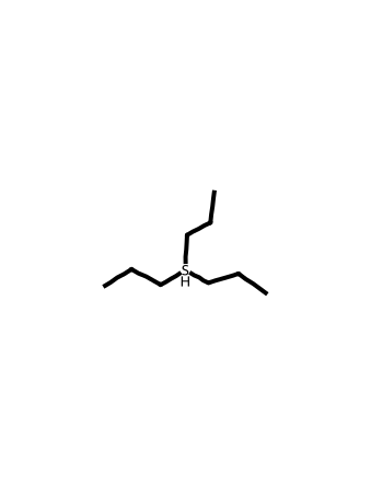 CCC[SH](CCC)CCC